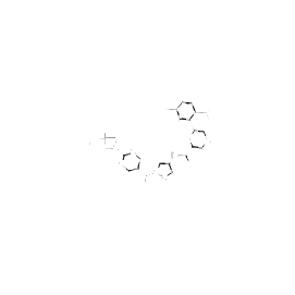 CC(c1cnc(N2CC(C)(F)C2)nc1)n1cc(NC(=O)c2cncc(-c3c(C(F)F)ccc(Cl)c3F)n2)cn1